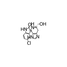 O=C1Nc2ccc(Cl)cc2[C@@]12N[C@H](CO)Cc1nc[nH]c12